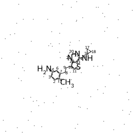 Cc1ccc(N)cc1CCc1csc2c(NC3CC3)ncnc12